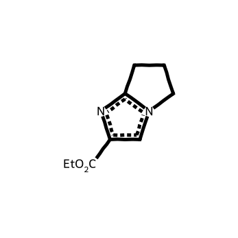 CCOC(=O)c1cn2c(n1)CCC2